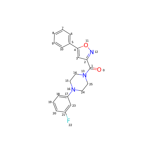 O=C(c1cc(-c2ccccc2)on1)N1CCN(c2cccc(F)c2)CC1